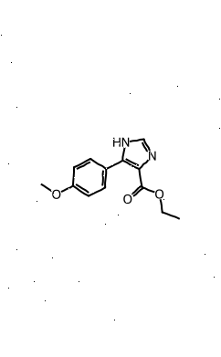 CCOC(=O)c1nc[nH]c1-c1ccc(OC)cc1